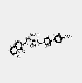 COc1ccc(-c2ccc(CC[C@@H](O)[C@H](CCn3nnc4cccc(Cl)c4c3=O)C(=O)O)cn2)cn1